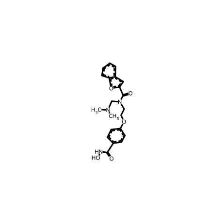 CN(C)CN(CCOc1ccc(C(=O)NO)cc1)C(=O)c1cc2ccccc2o1